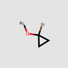 CC(=O)OC1(Br)CC1